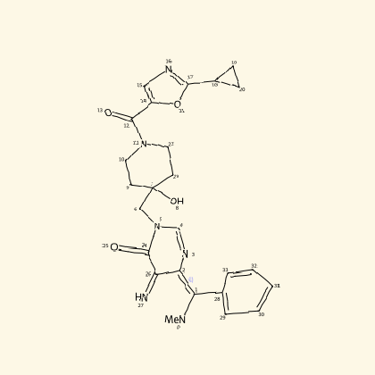 CN/C(=C1/N=CN(CC2(O)CCN(C(=O)c3cnc(C4CC4)o3)CC2)C(=O)C1=N)c1ccccc1